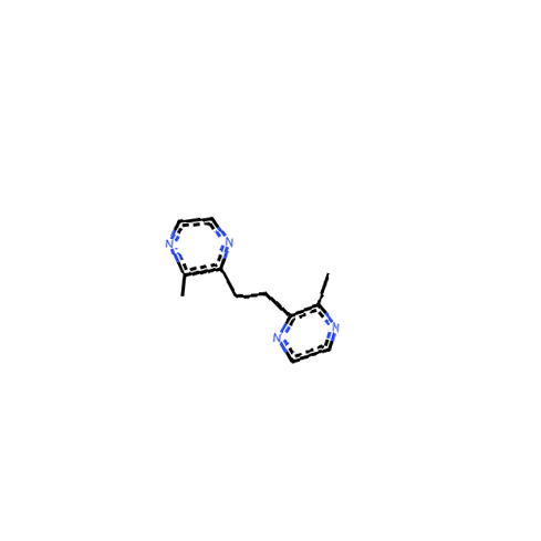 Cc1nccnc1CCc1nccnc1C